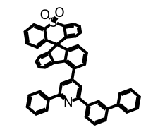 O=S1(=O)c2ccccc2C2(c3ccccc3-c3c(-c4cc(-c5ccccc5)nc(-c5cccc(-c6ccccc6)c5)c4)cccc32)c2ccccc21